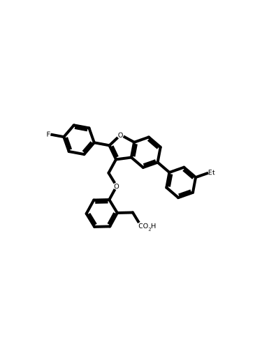 CCc1cccc(-c2ccc3oc(-c4ccc(F)cc4)c(COc4ccccc4CC(=O)O)c3c2)c1